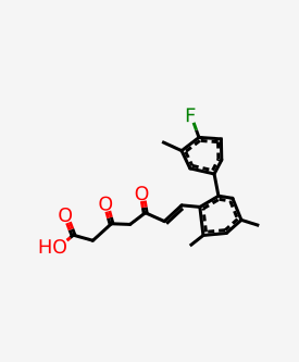 Cc1cc(C)c(/C=C/C(=O)CC(=O)CC(=O)O)c(-c2ccc(F)c(C)c2)c1